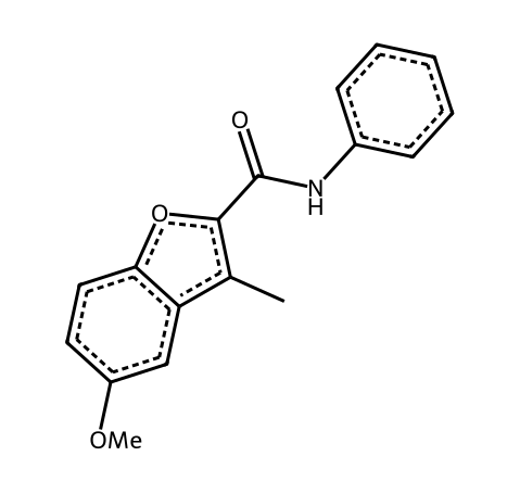 COc1ccc2oc(C(=O)Nc3ccccc3)c(C)c2c1